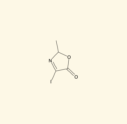 CC1N=C(I)C(=O)O1